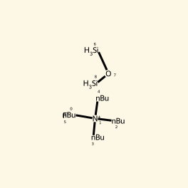 CCCC[N+](CCCC)(CCCC)CCCC.[F-].[SiH3]O[SiH3]